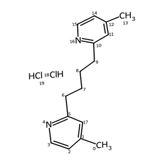 Cc1ccnc(CCCCc2cc(C)ccn2)c1.Cl.Cl